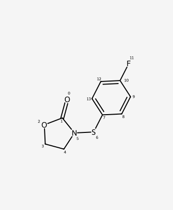 O=C1OCCN1Sc1ccc(F)cc1